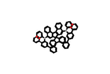 c1ccc(-c2ccc(-c3ccccc3)c(N(c3ccccc3)c3cc4c(c5ccccc35)-c3c(cc(N(c5ccccc5)c5cc(-c6ccccc6)ccc5-c5ccccc5)c5ccccc35)C43c4ccccc4-c4ccccc43)c2)cc1